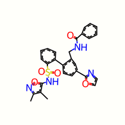 Cc1noc(NS(=O)(=O)c2ccccc2-c2ccc(-c3ncco3)cc2CNC(=O)c2ccccc2)c1C